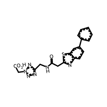 O=C(O)Cn1nnc(CNC(=O)Cc2nc3ccc(-c4ccccc4)cc3s2)n1